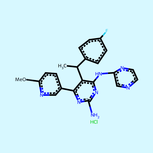 COc1ccc(-c2nc(N)nc(Nc3cnccn3)c2C(C)c2ccc(F)cc2)cn1.Cl